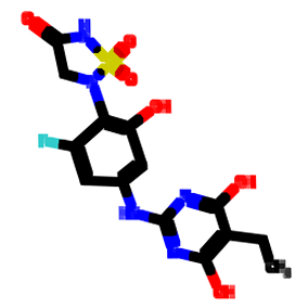 CCc1c(O)nc(Nc2cc(O)c(N3CC(=O)NS3(=O)=O)c(F)c2)nc1O